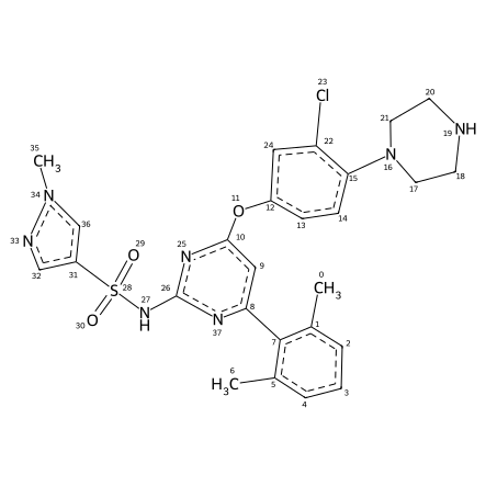 Cc1cccc(C)c1-c1cc(Oc2ccc(N3CCNCC3)c(Cl)c2)nc(NS(=O)(=O)c2cnn(C)c2)n1